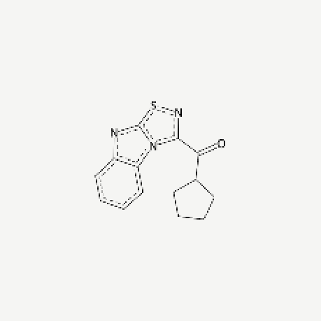 O=C(c1nsc2nc3ccccc3n12)C1CCCC1